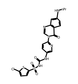 CCCNc1ccc2c(=O)n(-c3ccc(NC(=O)NS(=O)(=O)c4ccc(Cl)s4)cn3)cnc2c1